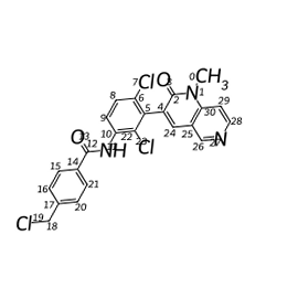 Cn1c(=O)c(-c2c(Cl)ccc(NC(=O)c3ccc(CCl)cc3)c2Cl)cc2cnccc21